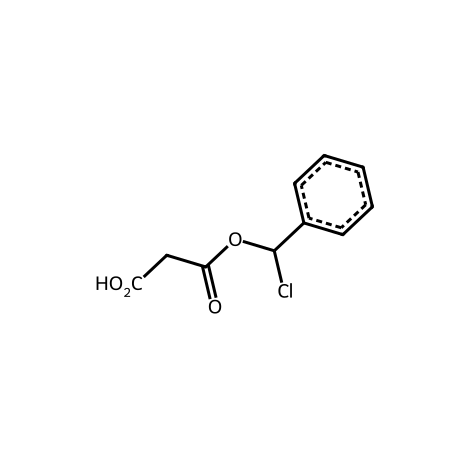 O=C(O)CC(=O)OC(Cl)c1ccccc1